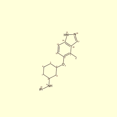 Cc1c(OC2CCCC(NC(C)C)C2)ccc2[nH]ncc12